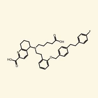 O=C(O)CCCCN(CCc1ccccc1OCc1ccc(CCc2ccc(F)cc2)cc1)C1CCCc2nc(C(=O)O)ccc21